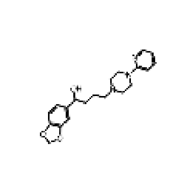 OC(CCCN1CCN(c2ccccn2)CC1)c1ccc2c(c1)OCO2